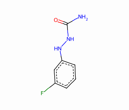 NC(=O)NNc1cccc(F)c1